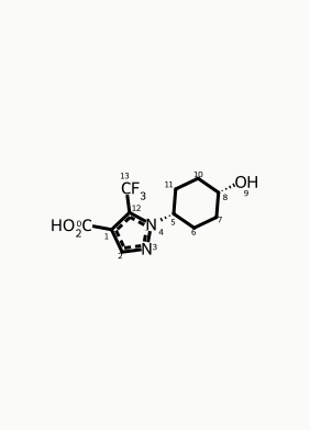 O=C(O)c1cnn([C@H]2CC[C@@H](O)CC2)c1C(F)(F)F